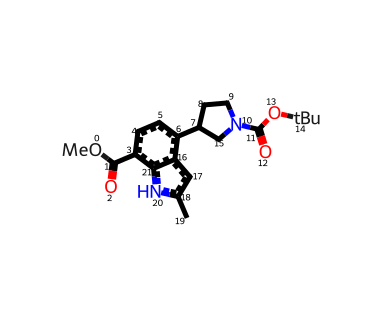 COC(=O)c1ccc(C2CCN(C(=O)OC(C)(C)C)C2)c2cc(C)[nH]c12